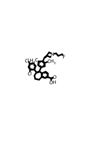 Cc1cc(C2=C(c3ccc(Cl)cc3Cl)CCCc3cc(C(=O)O)ccc32)cc(C)c1C=C1CN(CCCF)C1